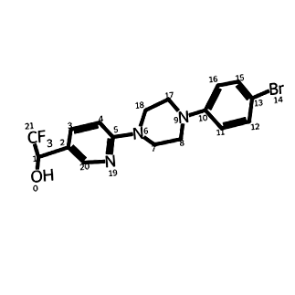 OC(c1ccc(N2CCN(c3ccc(Br)cc3)CC2)nc1)C(F)(F)F